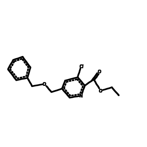 CCOC(=O)c1ncc(COCc2ccccc2)cc1Cl